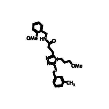 COCCCn1c(CCC(=O)NCc2ccccc2OC)nnc1SCc1cccc(C)c1